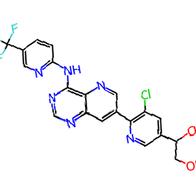 OCC(O)c1cnc(-c2cnc3c(Nc4ccc(C(F)(F)F)cn4)ncnc3c2)c(Cl)c1